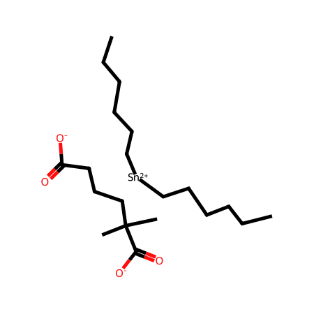 CC(C)(CCCC(=O)[O-])C(=O)[O-].CCCCC[CH2][Sn+2][CH2]CCCCC